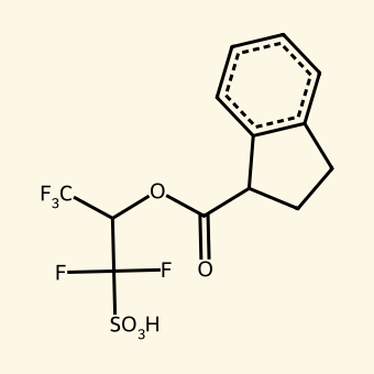 O=C(OC(C(F)(F)F)C(F)(F)S(=O)(=O)O)C1CCc2ccccc21